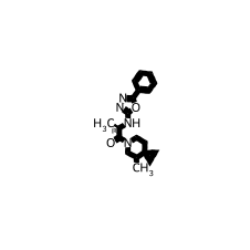 CC1CN(C(=O)[C@@H](C)Nc2nnc(-c3ccccc3)o2)CCC12CC2